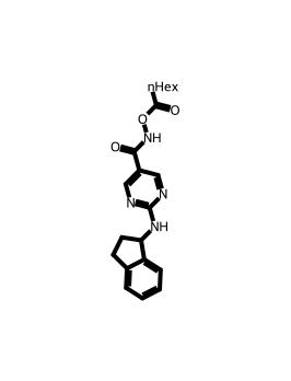 CCCCCCC(=O)ONC(=O)c1cnc(NC2CCc3ccccc32)nc1